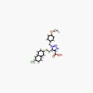 COc1ccc(Cn2nnc(C(=O)O)c2CSc2ccc3cc(Cl)ccc3c2)cc1